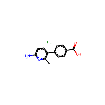 Cc1nc(N)ccc1-c1ccc(C(=O)O)cc1.Cl